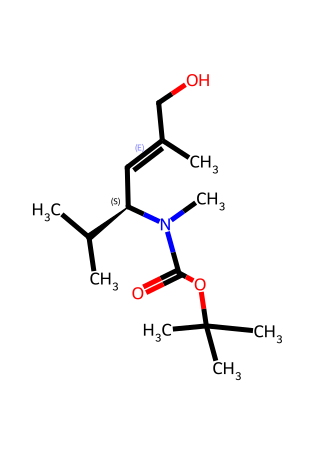 C/C(=C\[C@H](C(C)C)N(C)C(=O)OC(C)(C)C)CO